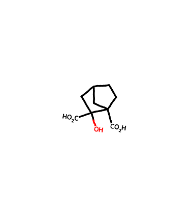 O=C(O)C1(O)CC2CCC1(C(=O)O)C2